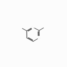 Cc1nc[c]c(O)n1